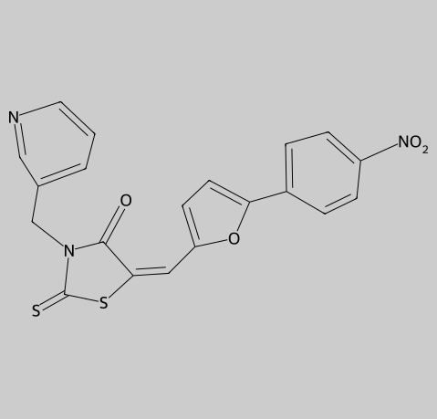 O=C1/C(=C\c2ccc(-c3ccc([N+](=O)[O-])cc3)o2)SC(=S)N1Cc1cccnc1